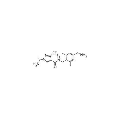 Cc1cc(CN)cc(C)c1CNC(=O)c1cn([C@@H](C)N)nc1C(F)(F)F